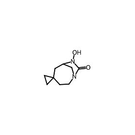 O=C1N2CCC3(CC3)CC(C2)N1O